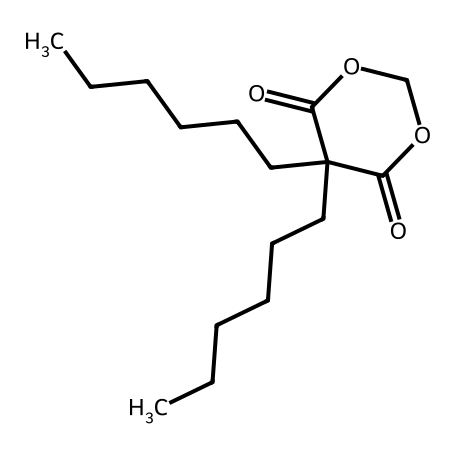 CCCCCCC1(CCCCCC)C(=O)OCOC1=O